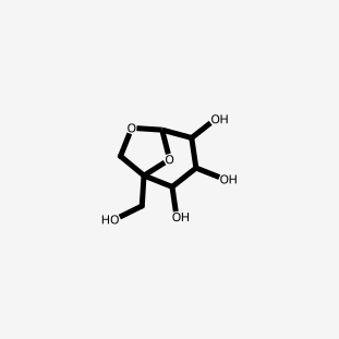 OCC12COC(O1)C(O)C(O)C2O